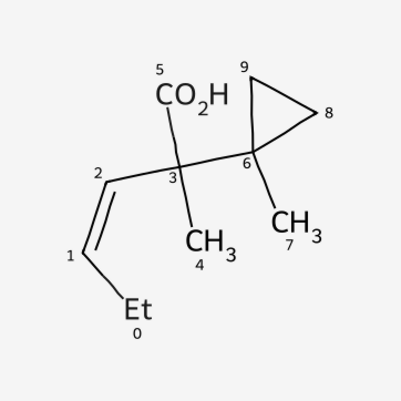 CC/C=C\C(C)(C(=O)O)C1(C)CC1